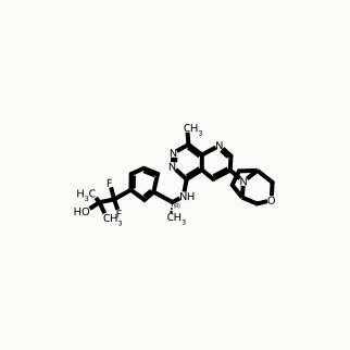 Cc1nnc(N[C@H](C)c2cccc(C(F)(F)C(C)(C)O)c2)c2cc(N3C4CCC3COC4)cnc12